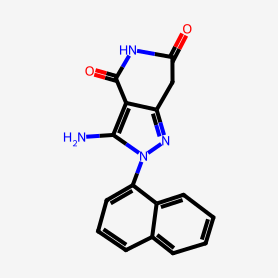 Nc1c2c(nn1-c1cccc3ccccc13)CC(=O)NC2=O